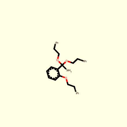 CC(C)CCOc1ccccc1C([SiH3])(OCCC(C)C)OCCC(C)C